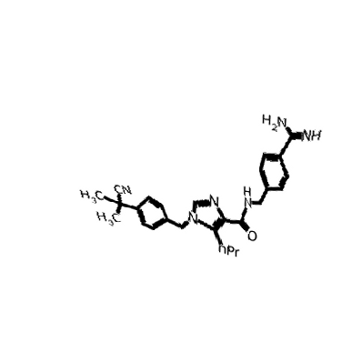 CCCc1c(C(=O)NCc2ccc(C(=N)N)cc2)ncn1Cc1ccc(C(C)(C)C#N)cc1